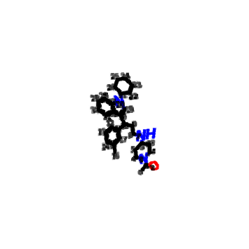 CC(=O)N1CCC(NCCC(c2cccc(C)c2)c2cn(C3CCCCC3)c3ccccc23)CC1